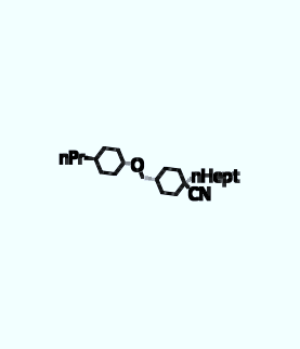 CCCCCCC[C@]1(C#N)CC[C@H](CO[C@H]2CC[C@H](CCC)CC2)CC1